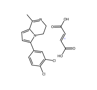 CC1=NCCn2c1ccc2-c1ccc(Cl)c(Cl)c1.O=C(O)/C=C/C(=O)O